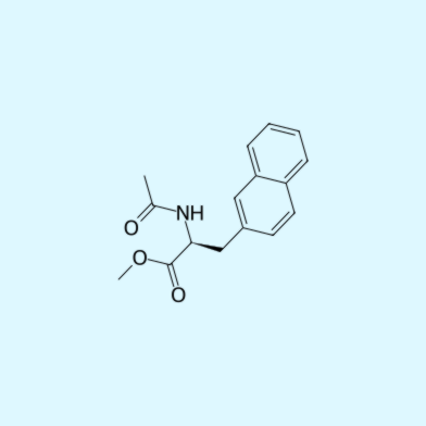 COC(=O)[C@H](Cc1ccc2ccccc2c1)NC(C)=O